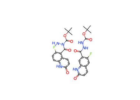 CC(C)(C)OC(=O)N(N)C(=O)c1c(F)ccc2[nH]c(=O)ccc12.CC(C)(C)OC(=O)NNC(=O)c1cc2[nH]c(=O)ccc2cc1F